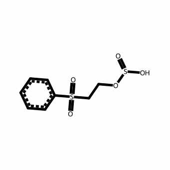 O=S(O)OCCS(=O)(=O)c1ccccc1